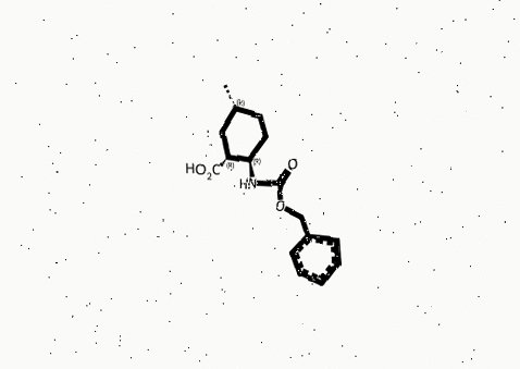 C[C@@H]1CC[C@@H](NC(=O)OCc2ccccc2)[C@H](C(=O)O)C1